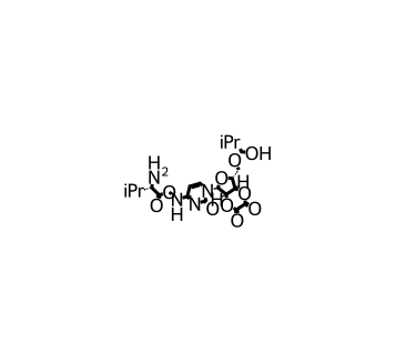 CC(C)C(O)OC[C@H]1O[C@@H](n2ccc(NOC(=O)[C@@H](N)C(C)C)nc2=O)[C@@H]2OC(=O)C(=O)O[C@@H]21